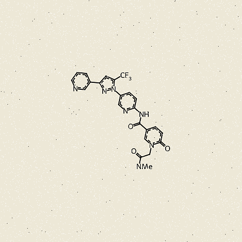 CNC(=O)Cn1cc(C(=O)Nc2ccc(-n3nc(-c4cccnc4)cc3C(F)(F)F)cn2)ccc1=O